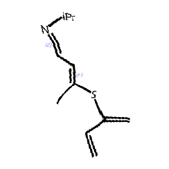 C=CC(=C)S/C(C)=C/C=N\C(C)C